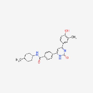 Cc1cc(-c2cc(-c3ccc(C(=O)NC4CCC(C)CC4)cc3)[nH]c(=O)n2)ccc1O